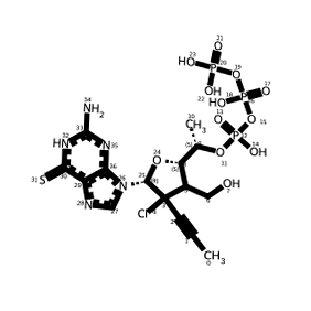 CC#CC1(Cl)C(CO)[C@@H]([C@H](C)OP(=O)(O)OP(=O)(O)OP(=O)(O)O)O[C@H]1n1cnc2c(=S)[nH]c(N)nc21